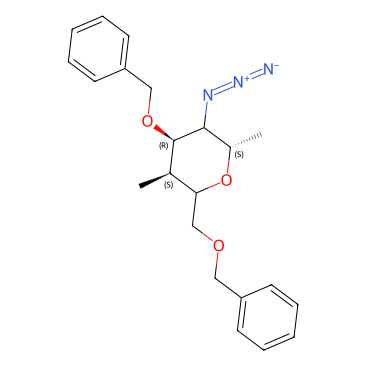 C[C@@H]1OC(COCc2ccccc2)[C@@H](C)[C@@H](OCc2ccccc2)C1N=[N+]=[N-]